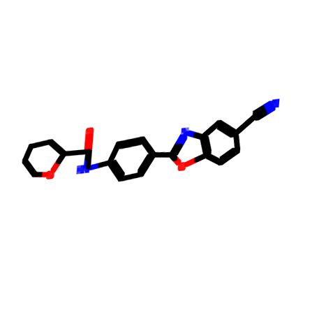 N#Cc1ccc2oc(-c3ccc(NC(=O)C4CCCCO4)cc3)nc2c1